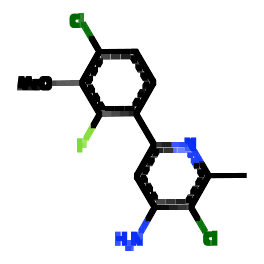 COc1c(Cl)ccc(-c2cc(N)c(Cl)c(C)n2)c1F